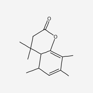 CC1=CC(C)C2C(=C1C)OC(=O)CC2(C)C